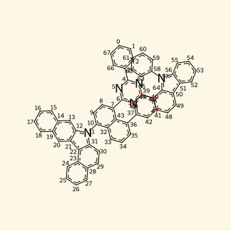 c1ccc(-c2nc(-c3ccc(-n4c5cc6ccccc6cc5c5c6ccccc6ccc54)c4cccc(-c5ccccc5)c34)nc(-c3cccc4c5ccccc5n(-c5ccccc5)c34)n2)cc1